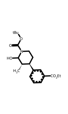 CCOC(=O)c1cccc([C@@H]2CCN(C(=O)OC(C)(C)C)C(O)[C@H]2C)c1